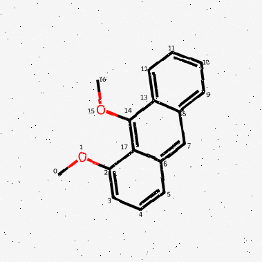 COc1cccc2cc3ccccc3c(OC)c12